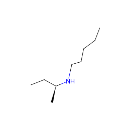 CCCCCN[C@@H](C)CC